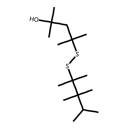 CC(C)C(C)(C)C(C)(C)SSC(C)(C)CC(C)(C)O